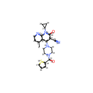 Cc1ccnc2c1c(N1CCN(C(=O)c3cccs3)CC1)c(C#N)c(=O)n2C1CC1